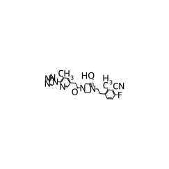 Cc1cc(CC(=O)N2CCN(CCc3ccc(F)c(C#N)c3C)[C@@H](CO)C2)cnc1-n1cnnn1